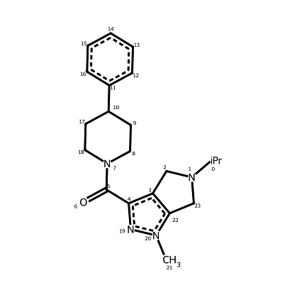 CC(C)N1Cc2c(C(=O)N3CCC(c4ccccc4)CC3)nn(C)c2C1